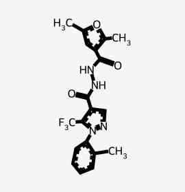 Cc1cc(C(=O)NNC(=O)c2cnn(-c3ccccc3C)c2C(F)(F)F)c(C)o1